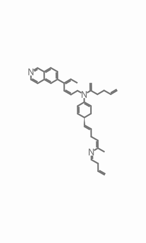 C=CC/C=N\C(C)=C/C/C=C/[C@H]1C=CC(N(C/C=C\C(=C/C)c2ccc3cnccc3c2)C(=C)CCC=C)=CC1